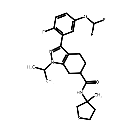 CC(C)n1nc(-c2cc(OC(F)F)ccc2F)c2c1CC(C(=O)NC1(C)CCSC1)CC2